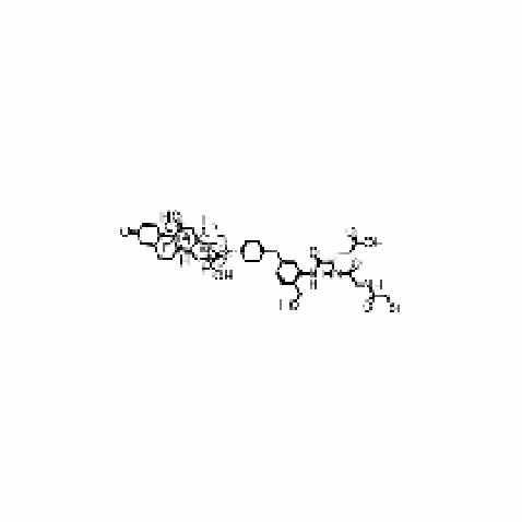 C[C@]12C=CC(=O)C=C1CC[C@H]1[C@@H]3C[C@H]4O[C@@H](c5ccc(Cc6ccc(CO)c(NC(=O)[C@H](CCC(=O)O)NC(=O)CNC(=O)CBr)c6)cc5)O[C@@]4(C(=O)CO)[C@@]3(C)C[C@H](O)[C@@]12F